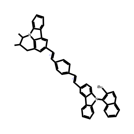 CCC(C)c1ccc2ccccc2c1-n1c2ccccc2c2cc(/C=C/c3ccc(/C=C/c4cc5c6c(c4)c4ccccc4n6C(C)C(C)C5)cc3)ccc21